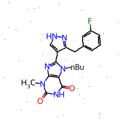 CCCCn1c(-c2c[nH]nc2Cc2cccc(F)c2)nc2c1c(=O)[nH]c(=O)n2C